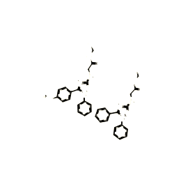 CCOC(=O)C/N=c1\nc(-c2ccc(OC)cc2)n(-c2ccccc2)s1.CCOC(=O)C/N=c1\nc(-c2ccccc2)n(-c2ccccc2)s1